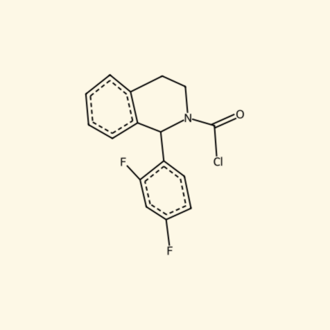 O=C(Cl)N1CCc2ccccc2C1c1ccc(F)cc1F